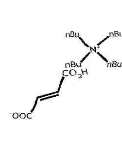 CCCC[N+](CCCC)(CCCC)CCCC.O=C([O-])C=CC(=O)O